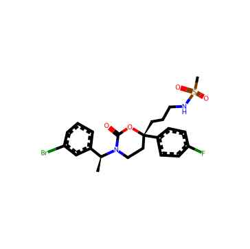 C[C@@H](c1cccc(Br)c1)N1CC[C@@](CCCNS(C)(=O)=O)(c2ccc(F)cc2)OC1=O